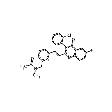 CC(=O)N(C)Cc1cccc(C=Cc2nc3ccc(F)cc3c(=O)n2-c2ccccc2Cl)n1